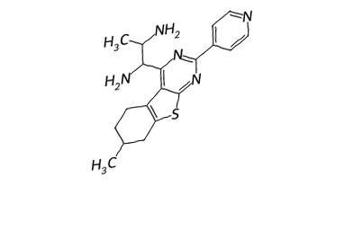 CC1CCc2c(sc3nc(-c4ccncc4)nc(C(N)C(C)N)c23)C1